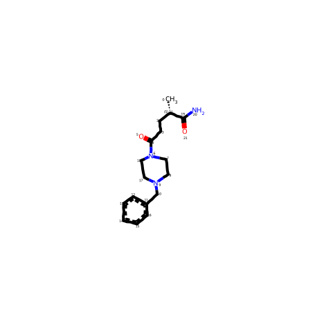 C[C@@H](C[CH]C(=O)N1CCN(Cc2ccccc2)CC1)C(N)=O